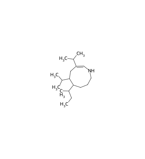 CCC(C)C1CCCN/C=C(/C(C)C)CC1C(C)C